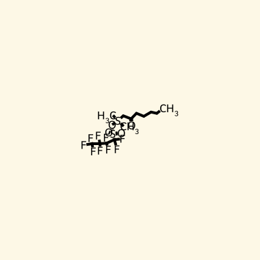 CCCCCC(=O)CS(C)(C)OS(=O)(=O)C(F)(F)C(F)(F)C(F)(F)C(F)(F)F